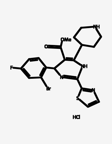 COC(=O)C1=C(C2CCNCC2)NC(c2nccs2)=NC1c1ccc(F)cc1Br.Cl